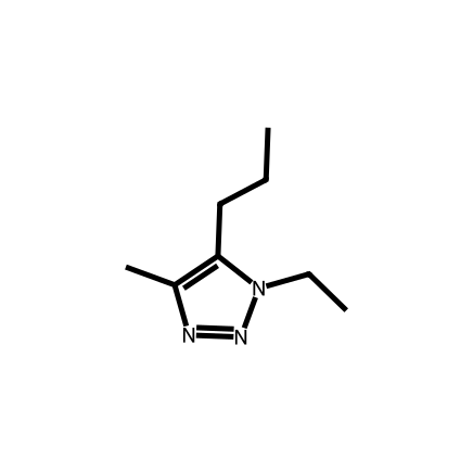 CCCc1c(C)nnn1CC